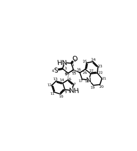 O=C1NC(=S)[C@@H](c2c[nH]c3ccccc23)[C@@H]1C1CN2CCCc3cccc1c32